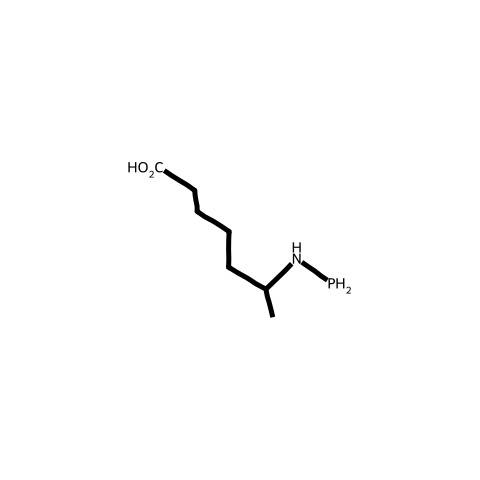 CC(CCCCC(=O)O)NP